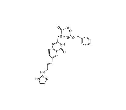 O=C(N[C@@H](Cc1nc2ccc(C=CCNC3=NCCN3)cc2c(=O)[nH]1)C(=O)O)OCc1ccccc1